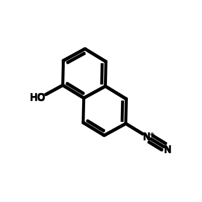 N#[N+]c1ccc2c(O)cccc2c1